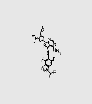 C=CC(=O)N1C[C@@H](n2nc(C#Cc3c(F)cc4c(ncn4C(F)F)c3F)c3c(N)ncnc32)C[C@@H]1COC